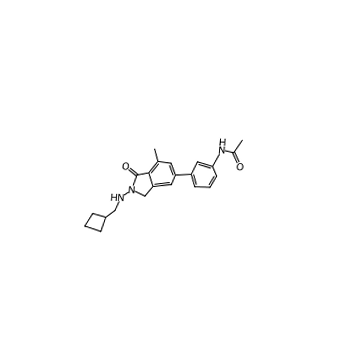 CC(=O)Nc1cccc(-c2cc(C)c3c(c2)CN(NCC2CCC2)C3=O)c1